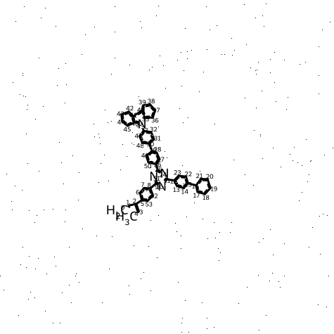 C=C/C(=C\C)c1ccc(-c2nc(-c3ccc(-c4ccccc4)cc3)nc(-c3ccc(-c4ccc(-n5c6ccccc6c6ccccc65)cc4)cc3)n2)cc1